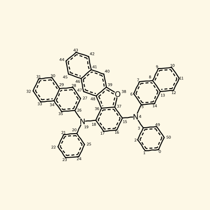 c1ccc(N(c2ccc3ccccc3c2)c2ccc(N(c3ccccc3)c3ccc4ccccc4c3)c3c2oc2cc4ccccc4cc23)cc1